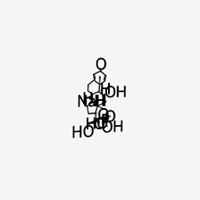 C[C@]12C=CC(=O)C=C1CC[C@@H]1[C@@H]2[C@@H](O)C[C@@]2(C)[C@H]1CC[C@]2(OP(=O)(O)O)C(=O)CO.[NaH]